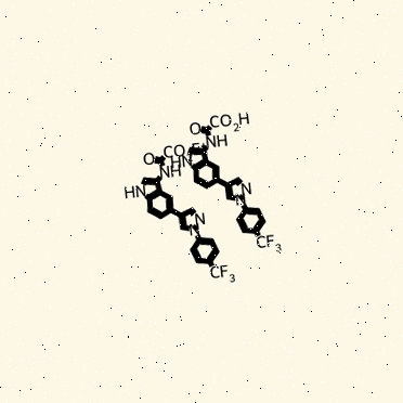 CCOC(=O)C(=O)Nc1c[nH]c2ccc(-c3cnn(-c4ccc(C(F)(F)F)cc4)c3)cc12.O=C(O)C(=O)Nc1c[nH]c2ccc(-c3cnn(-c4ccc(C(F)(F)F)cc4)c3)cc12